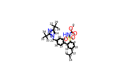 COC(=O)NS(=O)(=O)c1ccc(CC(C)C)cc1-c1ccc(Cn2cc(C(C)(C)C)nc2C(C)(C)C)cc1